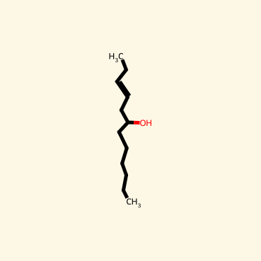 CCC=CCC(O)CCCCCC